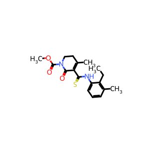 CCc1c(C)cccc1NC(=S)C1=C(C)CCN(C(=O)OC)C1=O